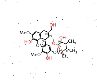 CCC1O[C@H](OC[C@H]2[C@H](CO)Cc3cc(OC)c(O)c(OC)c3[C@@H]2c2cc(OC)c(O)c(OC)c2)[C@H](O)C(C)[C@H]1C